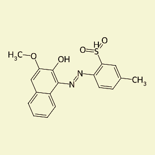 COc1cc2ccccc2c(N=Nc2ccc(C)cc2[SH](=O)=O)c1O